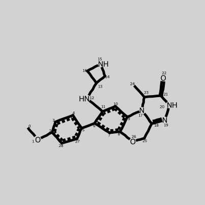 COc1ccc(-c2cc3c(cc2NC2CNC2)N2C(=NNC(=O)C2C)CO3)cc1